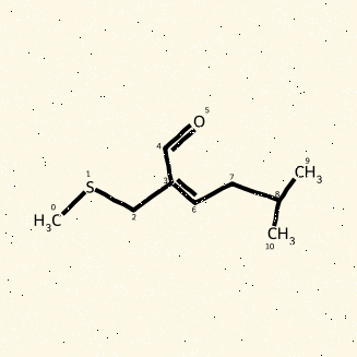 CSCC(C=O)=CCC(C)C